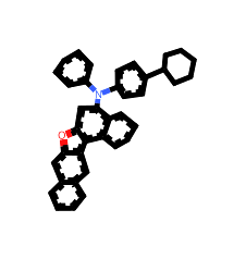 c1ccc(N(c2ccc(C3CCCCC3)cc2)c2cc3oc4cc5ccccc5cc4c3c3ccccc23)cc1